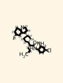 C=CC[C@@H](C(=O)Nc1ccc(Cl)cc1N)[C@H]1CC[C@@H](c2ccnc3ccc(F)cc32)CC1